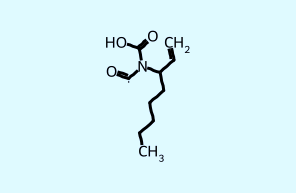 C=CC(CCCCC)N([C]=O)C(=O)O